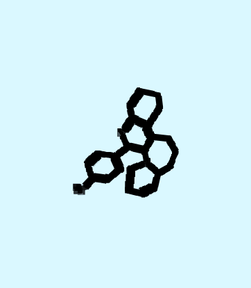 Brc1ccc(-c2nc3c(c4c2N2C=CC=CC2CCC4)CCC=C3)cc1